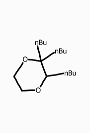 CCCCC1OCCOC1(CCCC)CCCC